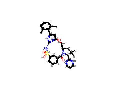 Cc1cccc(C)c1-c1cc2nc(n1)NS(=O)(=O)c1cccc(c1)C(=O)N(Cc1ncccn1)[C@H](CC(C)(C)C)CO2